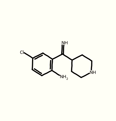 N=C(c1cc(Cl)ccc1N)C1CCNCC1